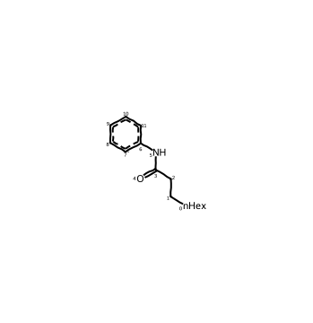 CCCCCCCCC(=O)Nc1[c]cccc1